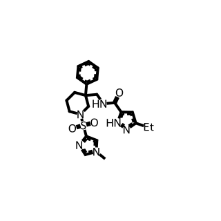 CCc1cc(C(=O)NCC2(c3ccccc3)CCCN(S(=O)(=O)c3cn(C)cn3)C2)[nH]n1